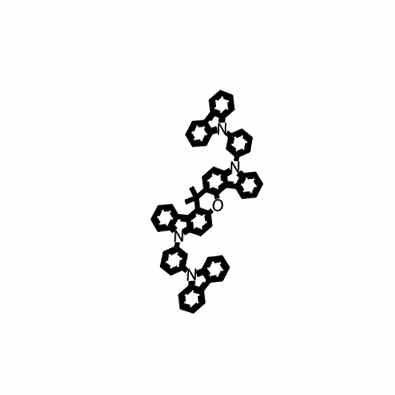 CC1(C)c2ccc3c(c2Oc2ccc4c(c21)c1ccccc1n4-c1cccc(-n2c4ccccc4c4ccccc42)c1)c1ccccc1n3-c1cccc(-n2c3ccccc3c3ccccc32)c1